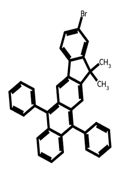 CC1(C)c2cc(Br)ccc2-c2cc3c(-c4ccccc4)c4ccccc4c(-c4ccccc4)c3cc21